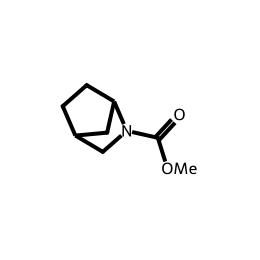 COC(=O)N1CC2CCC1C2